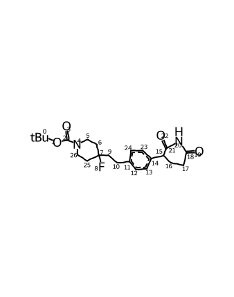 CC(C)(C)OC(=O)N1CCC(F)(CCc2ccc(C3CCC(=O)NC3=O)cc2)CC1